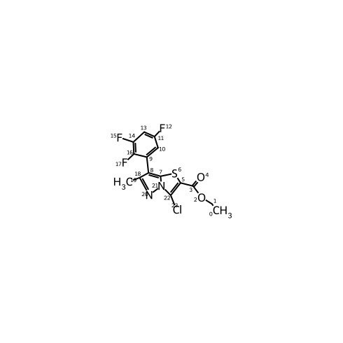 CCOC(=O)c1sc2c(-c3cc(F)cc(F)c3F)c(C)nn2c1Cl